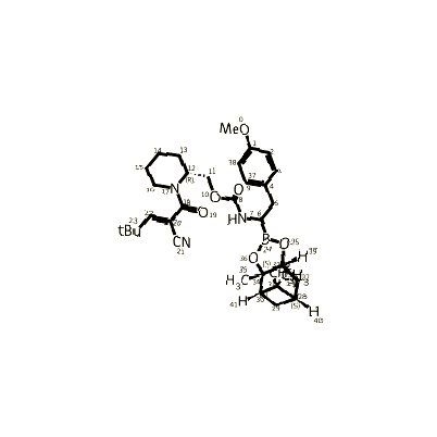 COc1ccc(CC(NC(=O)OC[C@H]2CCCCN2C(=O)C(C#N)=CC(C)(C)C)B2O[C@@H]3C[C@@H]4C[C@@H](C4(C)C)[C@]3(C)O2)cc1